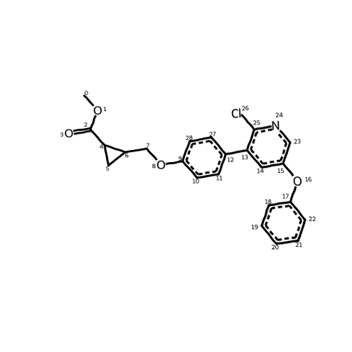 COC(=O)C1CC1COc1ccc(-c2cc(Oc3ccccc3)cnc2Cl)cc1